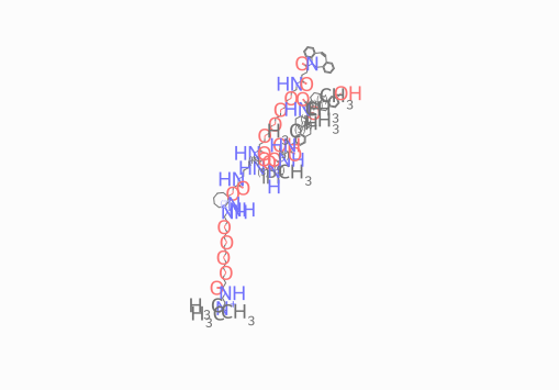 CC(C)[C@H](NC(=O)[C@@H](CCCCNC(=O)COC1CCCCC/C(NCCOCCOCCOCCOCCC(=O)NCC[N+](C)(C)C)=C\1N=N)NC(=O)CCOCCOCCOCCOCCNC(=O)CCC(=O)N1Cc2ccccc2C#Cc2ccccc21)C(=O)N[C@@H](C)C(=O)N[C@@H](CO)C(=O)Nc1ccc2c(c1)[C@@]1(C)CCC[C@](C)(C(=O)NC(=O)[C@@]3(C)CCC[C@]4(C)c5cc(O)ccc5CC[C@@H]34)[C@@H]1CC2